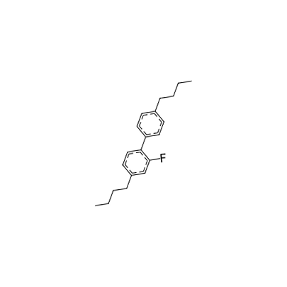 CCCCc1ccc(-c2ccc(CCCC)cc2F)cc1